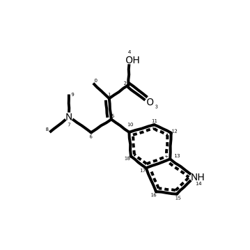 C/C(C(=O)O)=C(\CN(C)C)c1ccc2[nH]ccc2c1